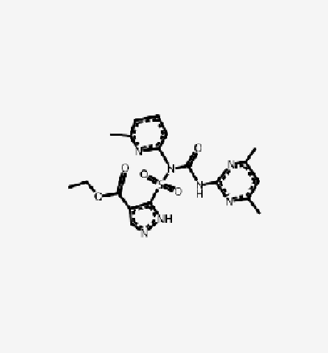 CCOC(=O)c1cn[nH]c1S(=O)(=O)N(C(=O)Nc1nc(C)cc(C)n1)c1cccc(C)n1